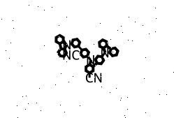 N#Cc1ccc2c(c1)c1ccc(-n3c4ccccc4c4ccccc43)cc1n2-c1ccc(-c2cccc(-n3c4ccccc4c4ccccc43)c2)c(C#N)c1